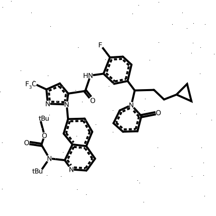 CC(C)(C)OC(=O)N(c1nccc2ccc(-n3nc(C(F)(F)F)cc3C(=O)Nc3cc(C(CCC4CC4)n4ccccc4=O)ccc3F)cc12)C(C)(C)C